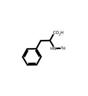 [2H]NC(Cc1ccccc1)C(=O)O